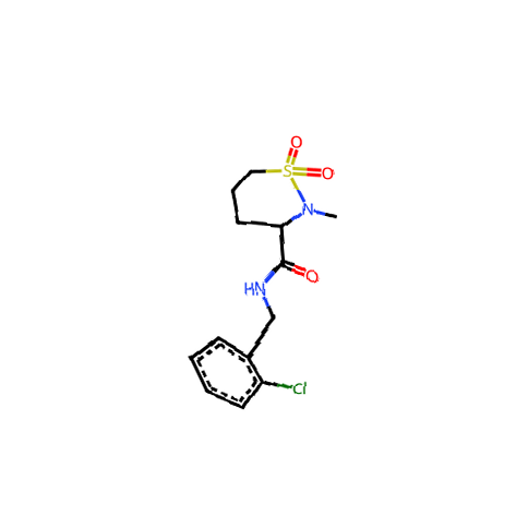 CN1C(C(=O)NCc2ccccc2Cl)CCCS1(=O)=O